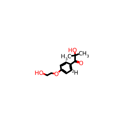 [2H]c1cc(OCCO)ccc1C(=O)C(C)(C)O